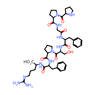 NC(N)=NCCCC(NC(=O)C(Cc1ccccc1)NC(=O)C1CCCN1C(=O)C(CO)NC(=O)C(Cc1ccccc1)NC(=O)CNC(=O)C1CCCN1C(=O)C1CCCN1)C(=O)O